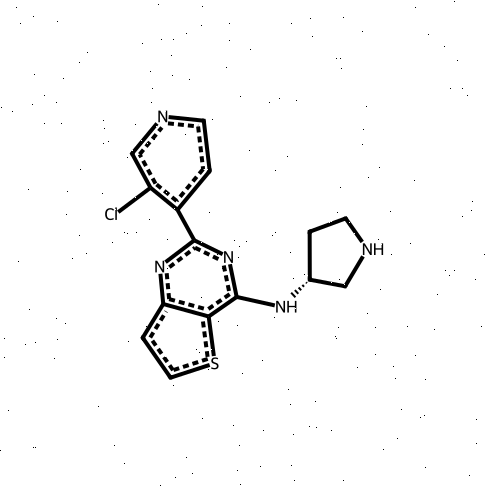 Clc1cnccc1-c1nc(N[C@@H]2CCNC2)c2sccc2n1